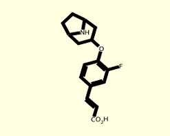 O=C(O)/C=C/c1ccc(OC2CC3CCC(C2)N3)c(F)c1